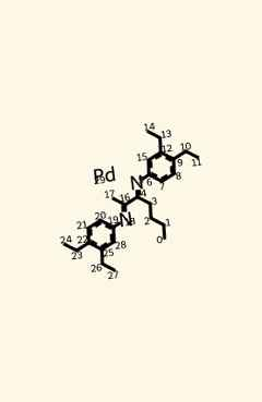 CCCCC(=N\c1ccc(CC)c(CC)c1)/C(C)=N/c1ccc(CC)c(CC)c1.[Pd]